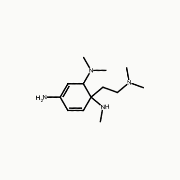 CNC1(CCN(C)C)C=CC(N)=CC1N(C)C